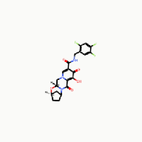 O=C(NCc1cc(F)c(F)cc1F)c1cn2c(c(O)c1=O)C(=O)N1C3CC[C@H](C3)O[C@@H]1C2